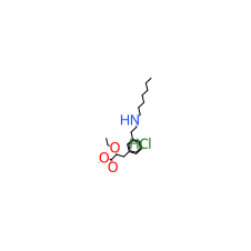 CCCCCCCNCCc1cccc(CC(OCC)C(=O)OC)c1.Cl